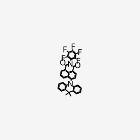 CC1(C)c2ccccc2N(c2ccc3c4c(cccc24)C(=O)N(c2c(F)c(F)c(F)c(F)c2F)C3=O)c2ccccc21